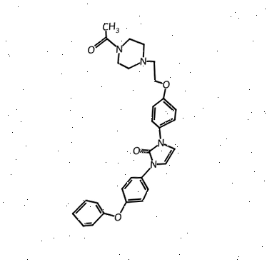 CC(=O)N1CCN(CCOc2ccc(-n3ccn(-c4ccc(Oc5ccccc5)cc4)c3=O)cc2)CC1